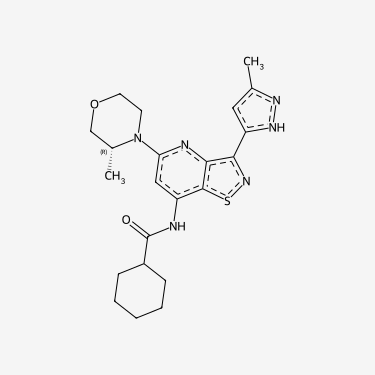 Cc1cc(-c2nsc3c(NC(=O)C4CCCCC4)cc(N4CCOC[C@H]4C)nc23)[nH]n1